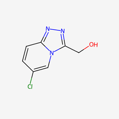 OCc1nnc2ccc(Cl)cn12